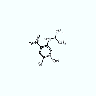 CC(C)Nc1c[n+](O)c(Br)cc1[N+](=O)[O-]